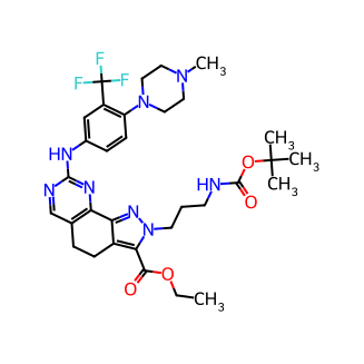 CCOC(=O)c1c2c(nn1CCCNC(=O)OC(C)(C)C)-c1nc(Nc3ccc(N4CCN(C)CC4)c(C(F)(F)F)c3)ncc1CC2